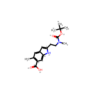 Cc1cc2cc(CCN(C)C(=O)OC(C)(C)C)[nH]c2cc1C(=O)O